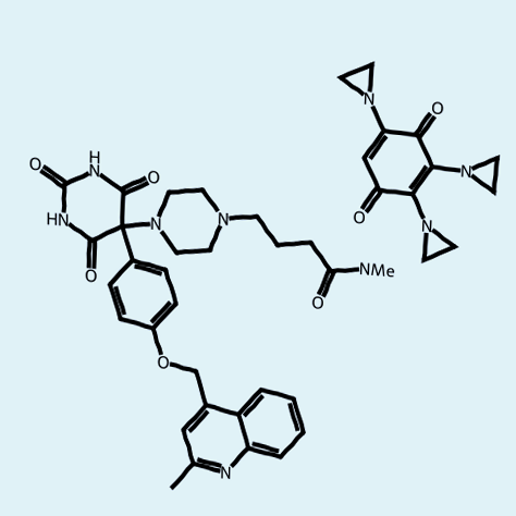 CNC(=O)CCCN1CCN(C2(c3ccc(OCc4cc(C)nc5ccccc45)cc3)C(=O)NC(=O)NC2=O)CC1.O=C1C=C(N2CC2)C(=O)C(N2CC2)=C1N1CC1